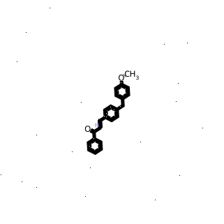 COc1ccc(Cc2ccc(/C=C/C(=O)c3ccccc3)cc2)cc1